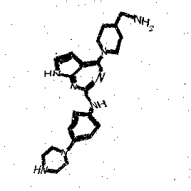 NCC1CCN(c2nc(Nc3ccc(N4CCNCC4)cc3)nc3[nH]ccc23)CC1